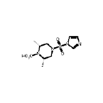 C[C@@H]1CN(S(=O)(=O)n2ccnc2)C[C@H](C)N1C(=O)O